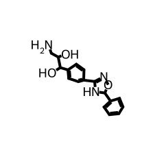 NCC(O)C(O)c1ccc(C2=NOC(c3ccccc3)N2)cc1